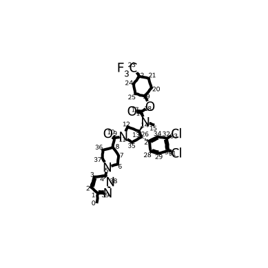 Cc1ccc(N2CCC(C(=O)N3C[C@@H](N(C)C(=O)OC4CCC(C(F)(F)F)CC4)[C@H](c4ccc(Cl)c(Cl)c4)C3)CC2)nn1